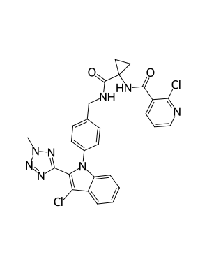 Cn1nnc(-c2c(Cl)c3ccccc3n2-c2ccc(CNC(=O)C3(NC(=O)c4cccnc4Cl)CC3)cc2)n1